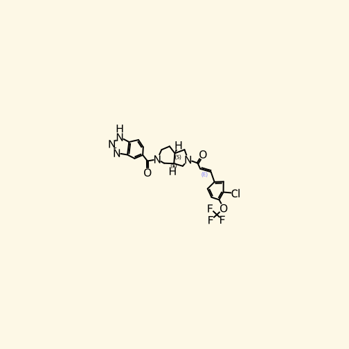 O=C(/C=C/c1ccc(OC(F)(F)F)c(Cl)c1)N1C[C@H]2CCN(C(=O)c3ccc4[nH]nnc4c3)C[C@@H]2C1